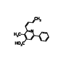 C=C/C=C\c1nc(-c2ccccc2)cc(C(=O)O)c1C